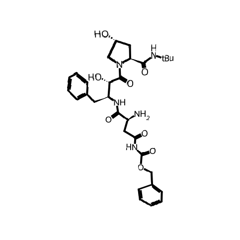 CC(C)(C)NC(=O)[C@@H]1C[C@@H](O)CN1C(=O)[C@@H](O)[C@H](Cc1ccccc1)NC(=O)[C@@H](N)CC(=O)NC(=O)OCc1ccccc1